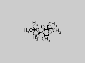 CCC1(CC)OC[C@@H](C)N(C(=O)OC(C)(C)C)C1=O